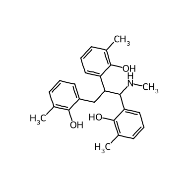 CNC(c1cccc(C)c1O)C(Cc1cccc(C)c1O)c1cccc(C)c1O